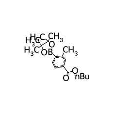 CCCCOC(=O)c1ccc(B2OC(C)(C)C(C)(C)O2)c(C)c1